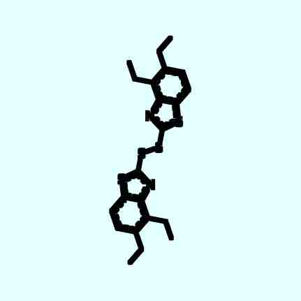 CCc1ccc2sc(SSc3nc4c(CC)c(CC)ccc4s3)nc2c1CC